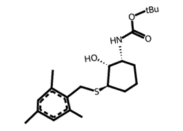 Cc1cc(C)c(CS[C@@H]2CCC[C@@H](NC(=O)OC(C)(C)C)[C@H]2O)c(C)c1